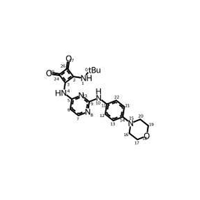 CC(C)(C)Nc1c(Nc2ccnc(Nc3ccc(N4CCOCC4)cc3)n2)c(=O)c1=O